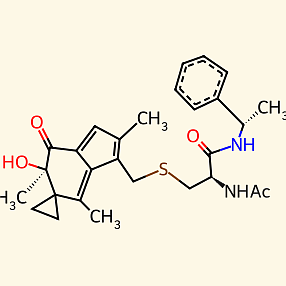 CC(=O)N[C@@H](CSCC1=C(C)C=C2C(=O)[C@](C)(O)C3(CC3)C(C)=C21)C(=O)N[C@@H](C)c1ccccc1